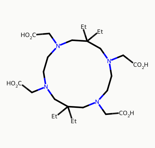 CCC1(CC)CN(CC(=O)O)CCN(CC(=O)O)CC(CC)(CC)CN(CC(=O)O)CCN(CC(=O)O)C1